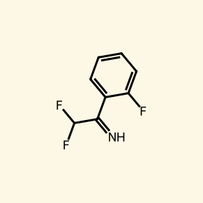 N=C(c1ccccc1F)C(F)F